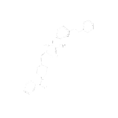 O=C(CC1CCN(C(=O)c2ccncc2)CC1)N[C@@H](Cc1ccc(OCc2ccccc2)cc1)C(=O)O